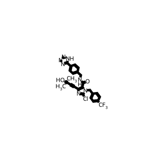 CC(C)(O)C#Cc1nc(Cl)n(Cc2ccc(C(F)(F)F)cc2)c1C(=O)NCc1ccc(-c2nnn[nH]2)cc1